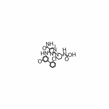 COc1cc(Nc2nc(N3CCCC(NC(=O)O)C3)ncc2C(N)=O)cc(-c2ccccc2Cl)c1